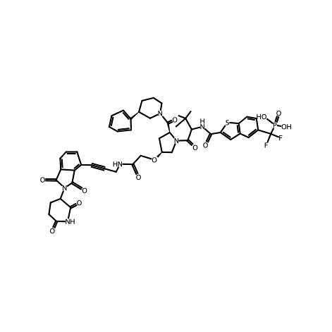 CC(C)(C)C(NC(=O)c1cc2cc(C(F)(F)P(=O)(O)O)ccc2s1)C(=O)N1C[C@@H](OCC(=O)NCC#Cc2cccc3c2C(=O)N(C2CCC(=O)NC2=O)C3=O)C[C@H]1C(=O)N1CCC[C@H](c2ccccc2)C1